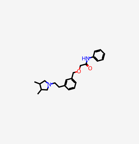 CC1CN(CCc2cccc(COCC(=O)Nc3ccccc3)c2)CC1C